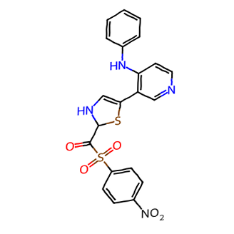 O=C(C1NC=C(c2cnccc2Nc2ccccc2)S1)S(=O)(=O)c1ccc([N+](=O)[O-])cc1